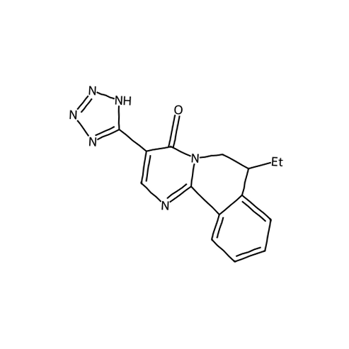 CCC1Cn2c(ncc(-c3nnn[nH]3)c2=O)-c2ccccc21